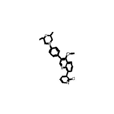 COc1c(-c2ccc(N3CC(C)OC(C)C3)cc2)cnc2c(-c3cccnc3Cl)cccc12